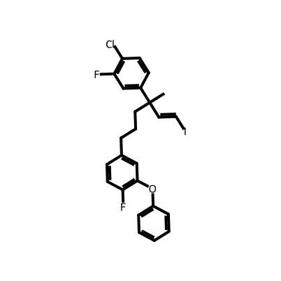 CC(C=CI)(CCCc1ccc(F)c(Oc2ccccc2)c1)c1ccc(Cl)c(F)c1